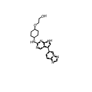 OCCOC1CCC(Nc2ncc3c(-c4ccc5ncnn5c4)c[nH]c3n2)CC1